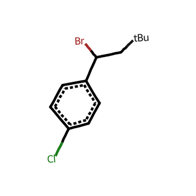 CC(C)(C)CC(Br)c1ccc(Cl)cc1